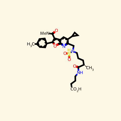 CNC(=O)c1c(-c2ccc(C)cc2)oc2nc(CN(CCC[C@H](C)C(=O)NCCCC(=O)O)[SH](=O)=O)c(C3CC3)cc12